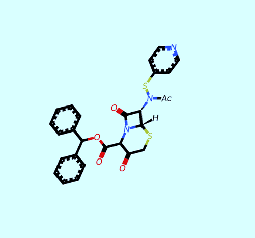 CC(=O)N(Sc1ccncc1)[C@@H]1C(=O)N2C(C(=O)OC(c3ccccc3)c3ccccc3)C(=O)CS[C@@H]12